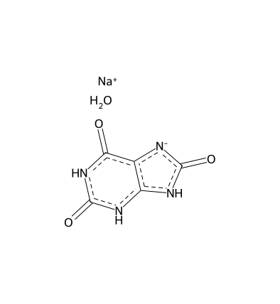 O.O=c1[n-]c2c(=O)[nH]c(=O)[nH]c2[nH]1.[Na+]